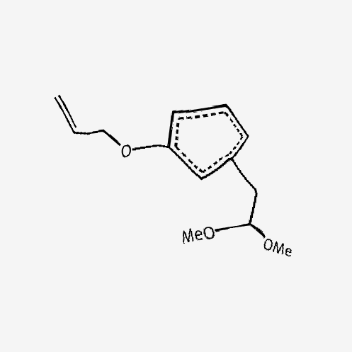 C=CCOc1cccc(CC(OC)OC)c1